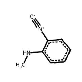 [C-]#[N+]c1ccccc1NC